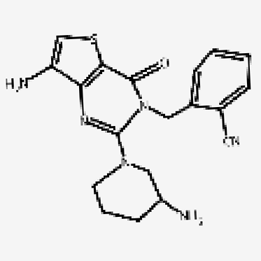 N#Cc1ccccc1Cn1c(N2CCCC(N)C2)nc2c(N)csc2c1=O